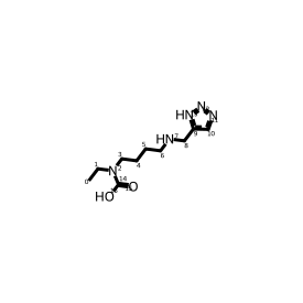 CCN(CCCCNCc1cnn[nH]1)C(=O)O